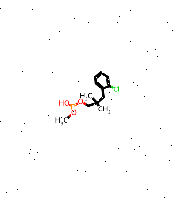 COP(O)OCC(C)(C)Cc1ccccc1Cl